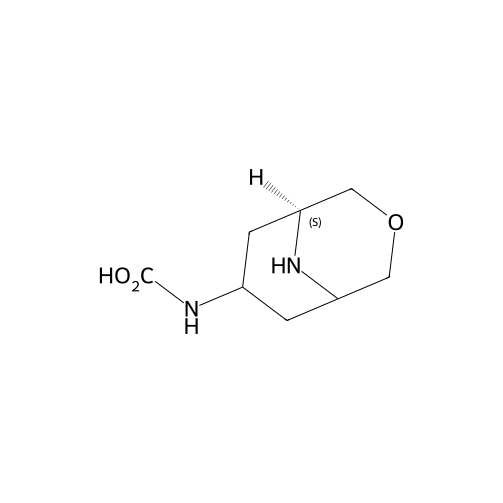 O=C(O)NC1CC2COC[C@H](C1)N2